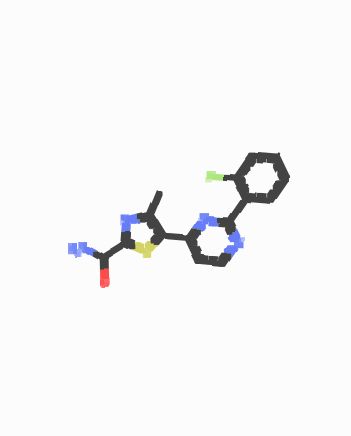 Cc1nc(C(N)=O)sc1-c1ccnc(-c2ccccc2F)n1